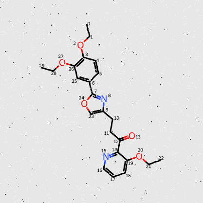 CCOc1ccc(-c2nc(CCC(=O)c3ncccc3OCC)co2)cc1OCC